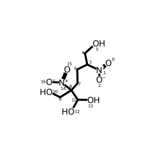 O=[N+]([O-])C(CO)CCC(CO)(C(O)O)[N+](=O)[O-]